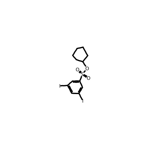 O=S(=O)(OC1CCCCC1)c1cc(I)cc(I)c1